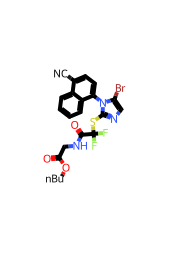 CCCCOC(=O)CNC(=O)C(F)(F)Sc1ncc(Br)n1-c1ccc(C#N)c2ccccc12